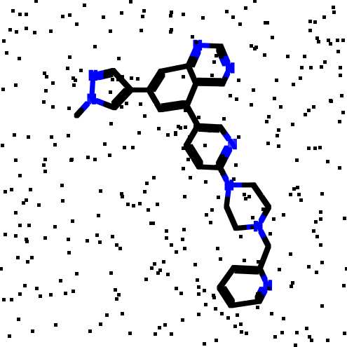 Cn1cc(-c2cc(-c3ccc(N4CCN(Cc5ccccn5)CC4)nc3)c3cncnc3c2)cn1